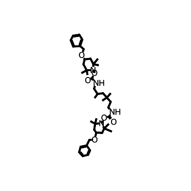 CC(CNC(=O)ON1C(C)(C)CC(OCc2ccccc2)CC1(C)C)CC(C)(C)CCNC(=O)ON1C(C)(C)CC(OCc2ccccc2)CC1(C)C